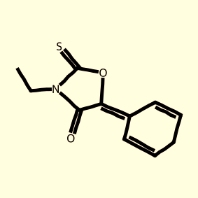 CCN1C(=O)C(=C2C=CCC=C2)OC1=S